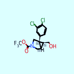 O=C(OC(F)(F)F)N1C[C@H]2[C@H](CO)[C@@]2(c2ccc(Cl)c(Cl)c2)C1